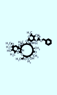 CC[C@H]1OC(=O)[C@H]2[C@@H](OC23CC(C)(OC)C(O)C(C)O3)[C@H](C)[C@@H](OC2CC(NC(=O)OCc3ccccc3)C(C)C(C)O2)[C@@](C)(O)C[C@@H](C)C(=O)[C@H](C)[C@@H](O)[C@]1(C)O